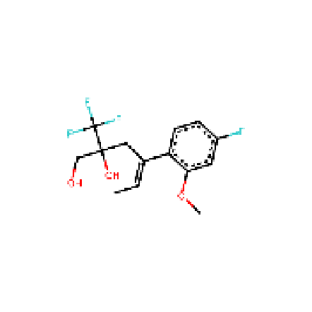 CC=C(CC(O)(CO)C(F)(F)F)c1ccc(F)cc1OC